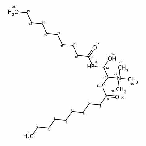 CCCCCCCCCC(=O)[P-]C(C(O)PC(=O)CCCCCCCCC)[N+](C)(C)C